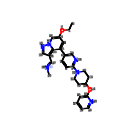 CCOc1cc(-c2ccc(N3CCC(Oc4ccccn4)CC3)nc2)c2c(/C=N/C)cnn2c1